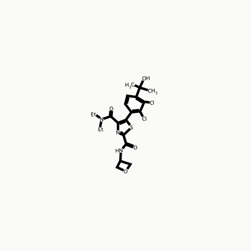 CCN(CC)C(=O)c1nc(C(=O)NC2COC2)sc1-c1ccc(C(C)(C)O)c(Cl)c1Cl